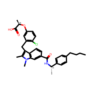 CCCCc1ccc([C@H](C)NC(=O)c2ccc3c(Cc4cc(O[C@H](C)C(=O)O)ccc4Cl)c(C)n(C)c3c2)cc1